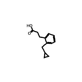 O=C(O)CCc1ccccc1CC1CC1